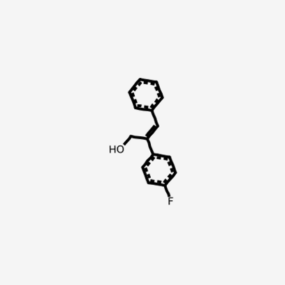 OCC(=Cc1ccccc1)c1ccc(F)cc1